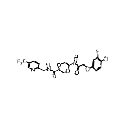 O=C(COc1ccc(Cl)c(F)c1)N[C@@H]1CO[C@H](C(=O)NCc2ccc(C(F)(F)F)cn2)CO1